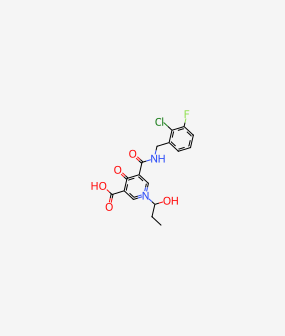 CCC(O)n1cc(C(=O)O)c(=O)c(C(=O)NCc2cccc(F)c2Cl)c1